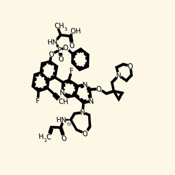 C#Cc1c(F)ccc2cc(OP(=O)(NC(C)C(=O)O)Oc3ccccc3)cc(-c3ncc4c(N5CCOC[C@@H](NC(=O)C=C)C5)nc(OCC5(CN6CCOCC6)CC5)nc4c3F)c12